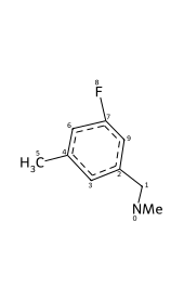 CNCc1cc(C)cc(F)c1